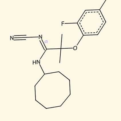 CC(C)(Oc1ccc(Cl)cc1F)/C(=N/C#N)NC1CCCCCCC1